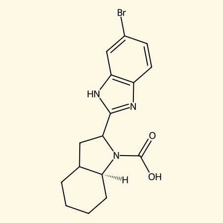 O=C(O)N1C(c2nc3ccc(Br)cc3[nH]2)CC2CCCC[C@@H]21